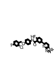 O=C(Nc1ccc(OCc2ccc(F)cc2Cl)cc1)c1cc(-c2ccc3[nH]nnc3n2)ccc1F